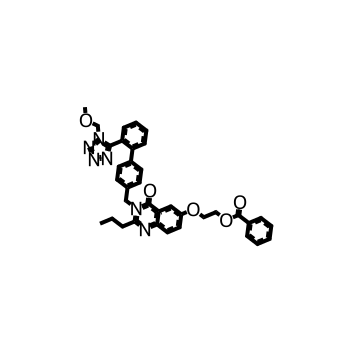 CCCc1nc2ccc(OCCOC(=O)c3ccccc3)cc2c(=O)n1Cc1ccc(-c2ccccc2-c2nnnn2COC)cc1